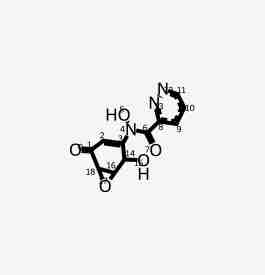 O=C1C=C(N(O)C(=O)c2cccnn2)C(O)C2OC12